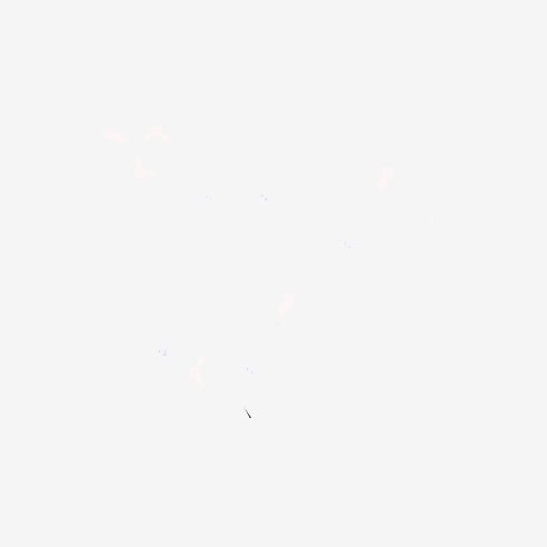 C[C@H]1COc2c(C3(N)CC3)c(F)cc3c(=O)c(C(=O)O)cn1c23.Cc1oc(=O)oc1CN1CCN(c2cc3c(cc2F)c(=O)c(C(=O)O)c2n3C(C)S2)CC1